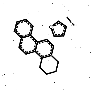 CC(C)=O.c1ccc2c(c1)ccc1c3c(ccc12)CCCC3.c1ccoc1